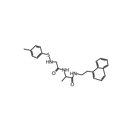 Cc1ccc(SNCC(=O)NC(C)C(=O)NCCc2cccc3ccccc23)cc1